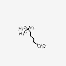 CC(C)(CCCCC=O)N=O